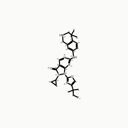 CC(C)(CF)c1coc(-n2c3nc(Nc4ccc5c(c4)CNCC5(C)C)ncc3c(=O)n2C2CC2)n1